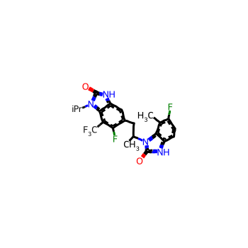 Cc1c(F)ccc2[nH]c(=O)n(C(C)Cc3cc4[nH]c(=O)n(C(C)C)c4c(C(F)(F)F)c3F)c12